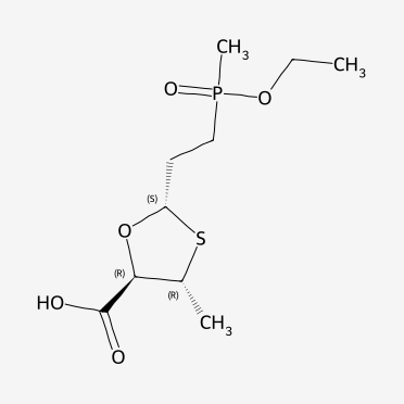 CCOP(C)(=O)CC[C@H]1O[C@H](C(=O)O)[C@@H](C)S1